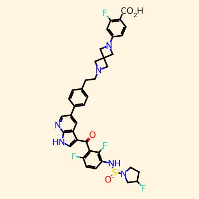 O=C(O)c1ccc(N2CC3(CN(CCc4ccc(-c5cnc6[nH]cc(C(=O)c7c(F)ccc(N[S+]([O-])N8CCC(F)C8)c7F)c6c5)cc4)C3)C2)cc1F